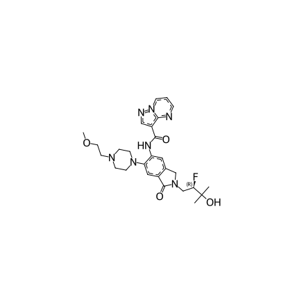 COCCN1CCN(c2cc3c(cc2NC(=O)c2cnn4cccnc24)CN(C[C@@H](F)C(C)(C)O)C3=O)CC1